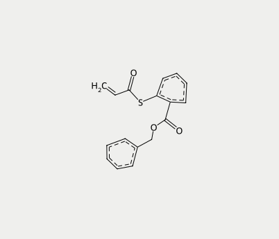 C=CC(=O)Sc1ccccc1C(=O)OCc1ccccc1